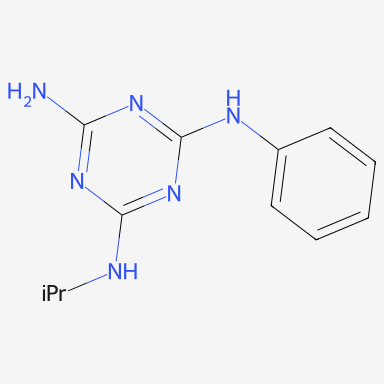 CC(C)Nc1nc(N)nc(Nc2ccccc2)n1